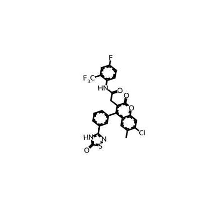 Cc1cc2c(-c3cccc(-c4nsc(=O)[nH]4)c3)c(CC(=O)Nc3ccc(F)cc3C(F)(F)F)c(=O)oc2cc1Cl